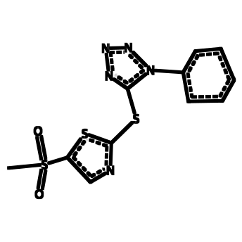 CS(=O)(=O)c1cnc(Sc2nnnn2-c2ccccc2)s1